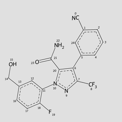 N#Cc1cccc(-c2c(C(F)(F)F)nn(-c3cc(CO)ccc3F)c2C(N)=O)c1